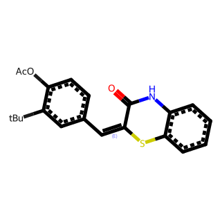 CC(=O)Oc1ccc(/C=C2/Sc3ccccc3NC2=O)cc1C(C)(C)C